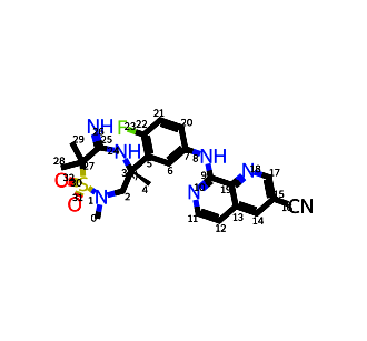 CN1C[C@@](C)(c2cc(Nc3nccc4cc(C#N)cnc34)ccc2F)NC(=N)C(C)(C)S1(=O)=O